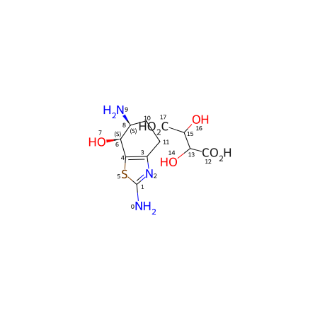 Nc1nc2c(s1)[C@@H](O)[C@@H](N)CC2.O=C(O)C(O)C(O)C(=O)O